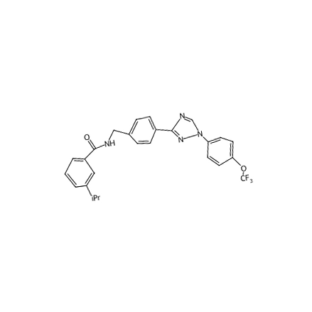 CC(C)c1cccc(C(=O)NCc2ccc(-c3ncn(-c4ccc(OC(F)(F)F)cc4)n3)cc2)c1